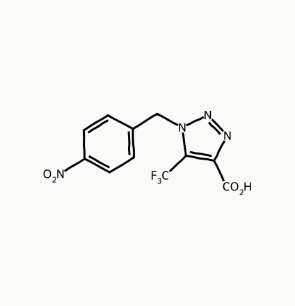 O=C(O)c1nnn(Cc2ccc([N+](=O)[O-])cc2)c1C(F)(F)F